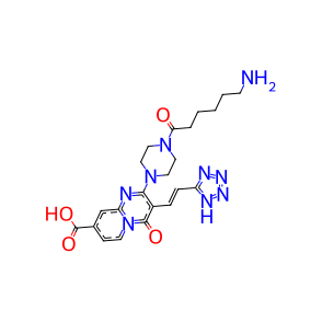 NCCCCCC(=O)N1CCN(c2nc3cc(C(=O)O)ccn3c(=O)c2/C=C/c2nnn[nH]2)CC1